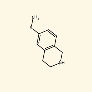 CSc1ccc2c(c1)CCNC2